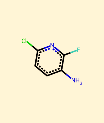 Nc1ccc(Cl)nc1F